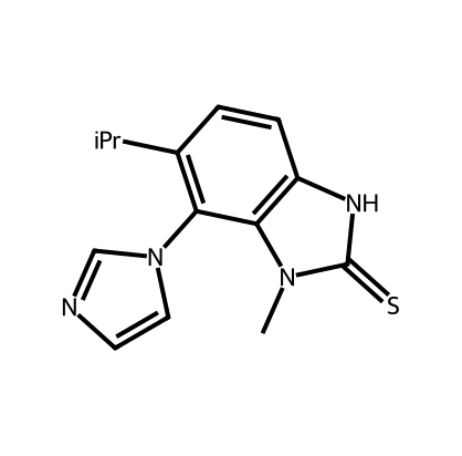 CC(C)c1ccc2[nH]c(=S)n(C)c2c1-n1ccnc1